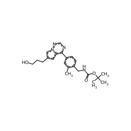 Cc1cc(-c2ncnn3cc(CCCO)cc23)ccc1CNC(=O)OC(C)(C)C